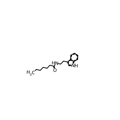 CCCCCCC(=O)NCCc1c[nH]c2ccccc12